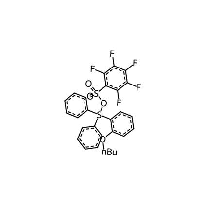 CCCCOc1ccccc1S(OS(=O)(=O)c1c(F)c(F)c(F)c(F)c1F)(c1ccccc1)c1ccccc1